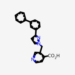 O=C(O)c1ccncc1Cn1ccc(-c2cccc(-c3ccccc3)c2)n1